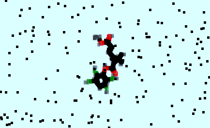 CC(C)OC(=O)C=CC1C(C(=O)Oc2c(F)c(F)cc(F)c2F)C1(C)C